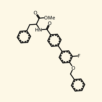 COC(=O)C(Cc1ccccc1)NC(=O)c1ccc(-c2ccc(OCc3ccccc3)c(F)c2)cc1